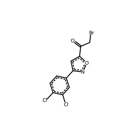 O=C(CBr)c1cc(-c2ccc(Cl)c(Cl)c2)no1